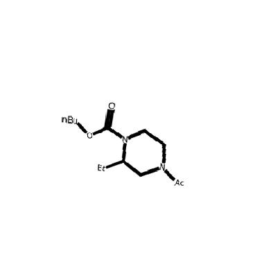 CCCCOC(=O)N1CCN(C(C)=O)CC1CC